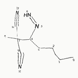 CCCCC(N=N)C(C)(C#N)C#N